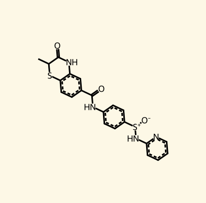 CC1Sc2ccc(C(=O)Nc3ccc([S+]([O-])Nc4ccccn4)cc3)cc2NC1=O